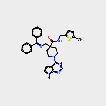 Cc1ccc(CNC(=O)C2(CN=C(c3ccccc3)c3ccccc3)CCN(c3ncnc4[nH]ccc34)CC2)s1